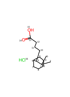 CC1(C)C2CCC(CC2)C1CCCC(=O)O.Cl